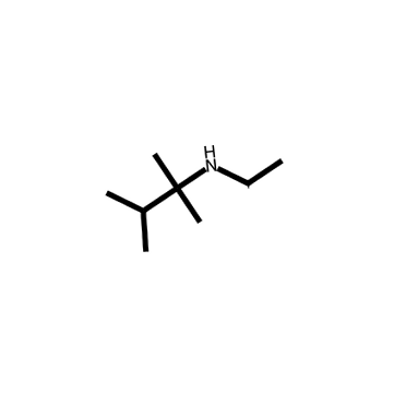 C[CH]NC(C)(C)C(C)C